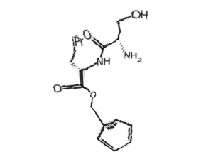 CC(C)C[C@H](NC(=O)[C@@H](N)CO)C(=O)OCc1ccccc1